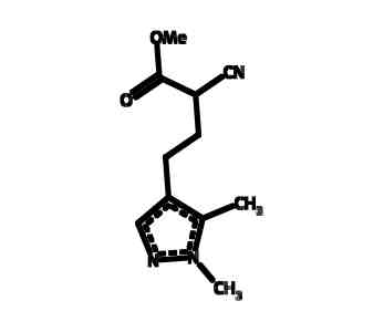 COC(=O)C(C#N)CCc1cnn(C)c1C